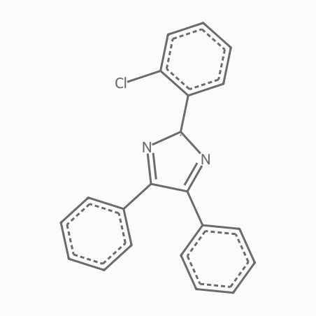 Clc1ccccc1[C]1N=C(c2ccccc2)C(c2ccccc2)=N1